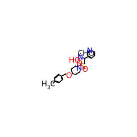 Cc1ccc(COC2CCN(S(=O)(=O)CC(c3cccnc3)N(O)C=O)CC2)cc1